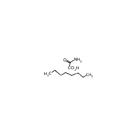 CCCCCCCC.NC(=O)C(=O)O